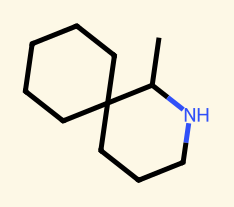 CC1NCCCC12CCCCC2